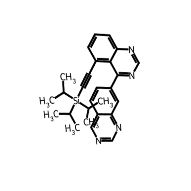 CC(C)[Si](C#Cc1cccc2ncnc(-c3ccc4cncnc4c3)c12)(C(C)C)C(C)C